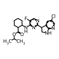 CC(C)OC(=O)C1CCCCC1Nc1nc(C2CNc3ncc(Cl)cc32)ncc1F